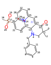 CC1(C)CN(Cc2ccccc2)C(c2ccc(S(C)(=O)=O)cc2)/C(=C\c2ccccn2)C1=O